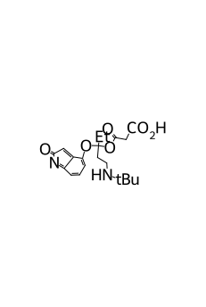 CCC(CCNC(C)(C)C)(OC(=O)CC(=O)O)Oc1cccc2c1=CC(=O)N=2